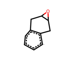 [c]1cccc2c1CC1OC1C2